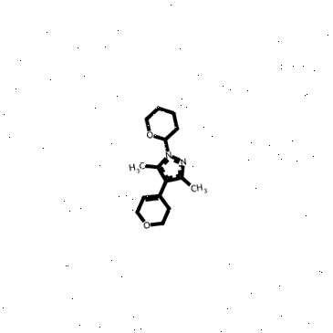 Cc1nn(C2CCCCO2)c(C)c1C1=CCOCC1